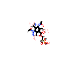 BCc1c(NC(C)=O)c(CB)c(C(=O)OCCS(=O)(=O)O)c(CB)c1NC(C)=O